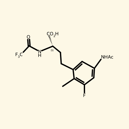 CC(=O)Nc1cc(F)c(C)c(CC[C@H](NC(=O)C(F)(F)F)C(=O)O)c1